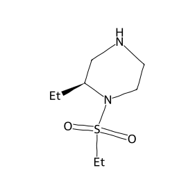 CC[C@H]1CNCCN1S(=O)(=O)CC